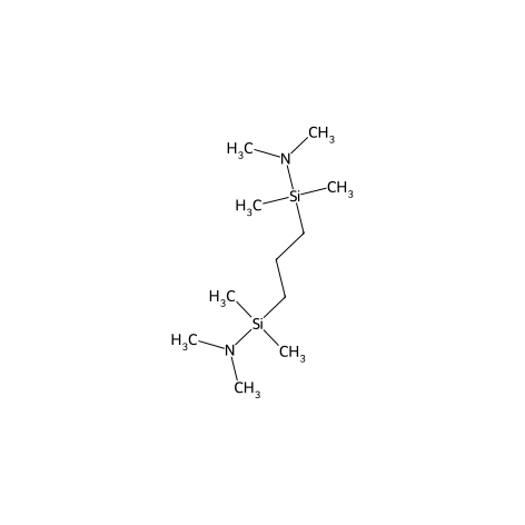 CN(C)[Si](C)(C)CCC[Si](C)(C)N(C)C